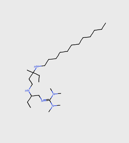 CCCCCCCCCCCCNC(C)(CC)CCNC(CC)CN=C(N(C)C)N(C)C